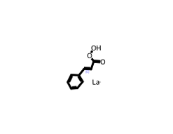 O=C(/C=C/c1ccccc1)OO.[La]